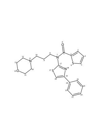 O=C(c1cccs1)N(CCCN1CCOCC1)c1nc(-c2ccccc2)cs1